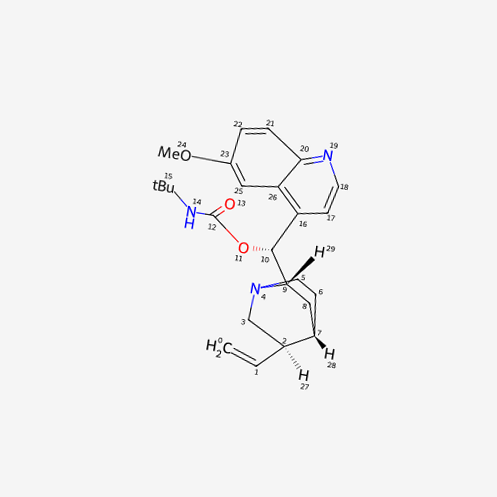 C=C[C@H]1CN2CC[C@H]1C[C@H]2[C@H](OC(=O)NC(C)(C)C)c1ccnc2ccc(OC)cc12